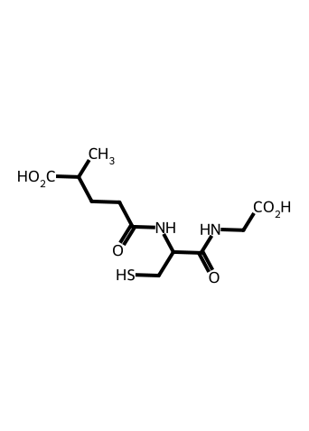 CC(CCC(=O)NC(CS)C(=O)NCC(=O)O)C(=O)O